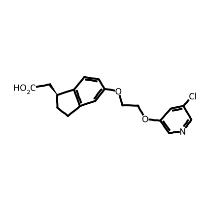 O=C(O)C[C@@H]1CCc2cc(OCCOc3cncc(Cl)c3)ccc21